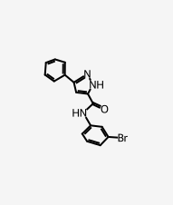 O=C(Nc1cccc(Br)c1)c1cc(-c2ccccc2)n[nH]1